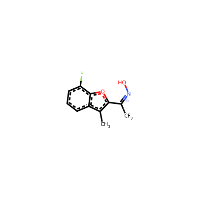 Cc1c(/C(=N\O)C(F)(F)F)oc2c(F)cccc12